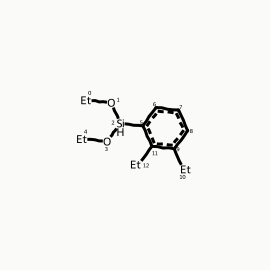 CCO[SiH](OCC)c1cccc(CC)c1CC